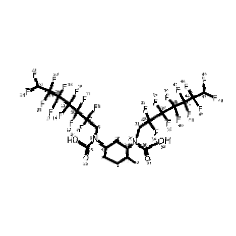 CC1CCC(N(CC(F)(F)C(F)(F)C(F)(F)C(F)(F)C(F)(F)C(F)F)C(=O)O)CC1N(CC(F)(F)C(F)(F)C(F)(F)C(F)(F)C(F)(F)C(F)F)C(=O)O